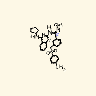 Cc1ccc(S(=O)(=O)Cc2cccc(/C(=N/O)Nc3nc(NC4CCCC4)c4ccccc4n3)c2)cc1